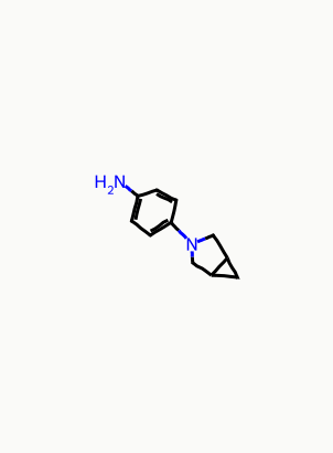 Nc1ccc(N2CC3CC3C2)cc1